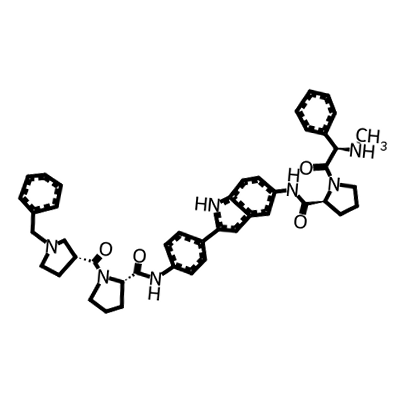 CN[C@@H](C(=O)N1CCC[C@H]1C(=O)Nc1ccc2[nH]c(-c3ccc(NC(=O)[C@@H]4CCCN4C(=O)[C@@H]4CCN(Cc5ccccc5)C4)cc3)cc2c1)c1ccccc1